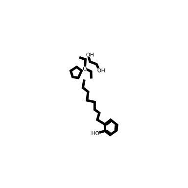 C1CCCC1.CCCCCCCCc1ccccc1O.CCOCC.OCCO